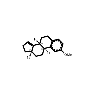 CC[C@@]12CCC=C1[C@@H]1CCc3c[c]c(OC)cc3[C@H]1CC2